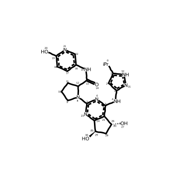 CC(C)c1cc(Nc2nc(N3CCCC3C(=O)Nc3ccc(O)nc3)nc3c2[C@H](O)C[C@H]3O)n[nH]1